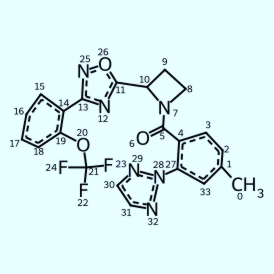 Cc1ccc(C(=O)N2CCC2c2nc(-c3ccccc3OC(F)(F)F)no2)c(-n2nccn2)c1